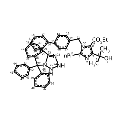 CCCc1nc(C(C)(C)O)c(C(=O)OCC)n1Cc1ccc(-c2ccccc2C2=NNNN2C(c2ccccc2)(c2ccccc2)c2ccccc2)cc1